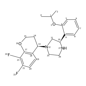 CC(C)Oc1ccccc1[C@@H]1CN([C@@H]2CCOc3c2ccc(F)c3F)CCN1